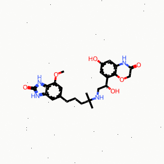 COc1cc(CCCC(C)(C)NCC(O)c2cc(O)cc3c2OCC(=O)N3)cc2[nH]c(=O)[nH]c12